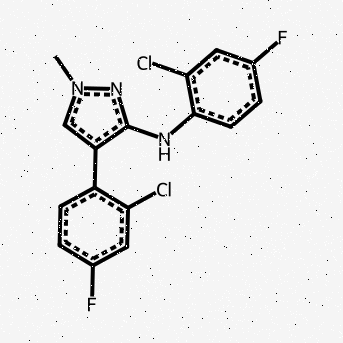 Cn1cc(-c2ccc(F)cc2Cl)c(Nc2ccc(F)cc2Cl)n1